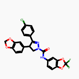 O=C(Nc1ccc2c(c1)OC(F)(F)O2)N1CC(c2ccc3c(c2)OCO3)C(c2ccc(Cl)cc2)=N1